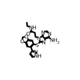 CCNC(=O)CCn1c(Sc2cc3c(cc2-c2cc[nH]n2)OCO3)nc2c(N)ncnc21